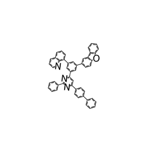 c1ccc(-c2ccc(-c3cc(-c4cc(-c5ccc6oc7ccccc7c6c5)cc(-c5cccc6cccnc56)c4)nc(-c4ccccc4)n3)cc2)cc1